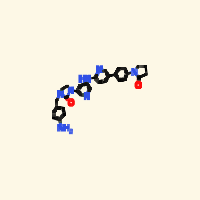 Nc1ccc(CN2CCN(c3cncc(Nc4ccc(-c5ccc(N6CCCC6=O)cc5)cn4)c3)C2=O)cc1